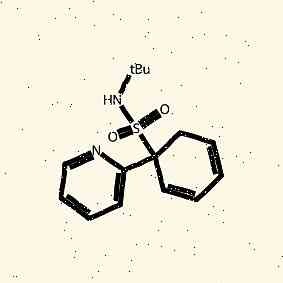 CC(C)(C)NS(=O)(=O)C1(c2ccccn2)C=CC=CC1